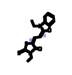 CCN1C(=O)/C(=C\C=C2\Oc3ccccc3N2CC)SC1=S